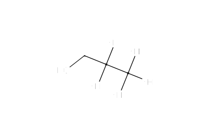 [2H]C([2H])([2H])C([2H])([2H])CC